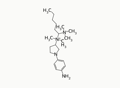 CCCCCC([N+](C)(C)C)[N+](C)(C)C1CCN(c2ccc(N)cc2)C1